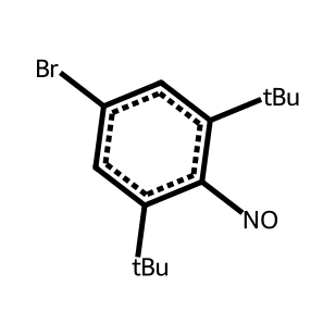 CC(C)(C)c1cc(Br)cc(C(C)(C)C)c1N=O